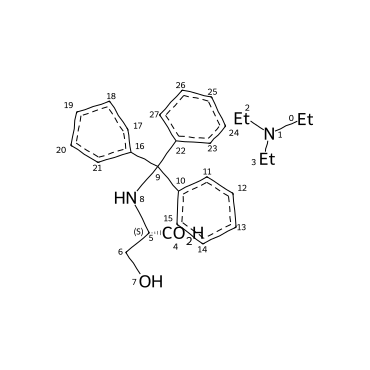 CCN(CC)CC.O=C(O)[C@H](CO)NC(c1ccccc1)(c1ccccc1)c1ccccc1